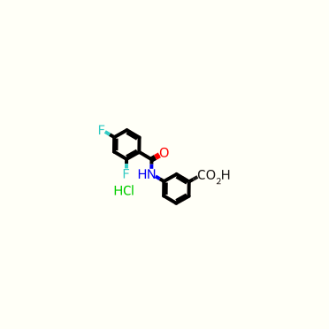 Cl.O=C(O)c1cccc(NC(=O)c2ccc(F)cc2F)c1